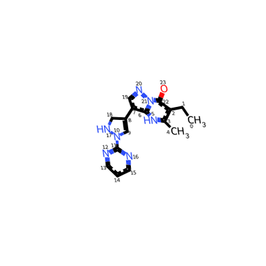 CCc1c(C)[nH]c2c(C3=CN(c4ncccn4)NC3)cnn2c1=O